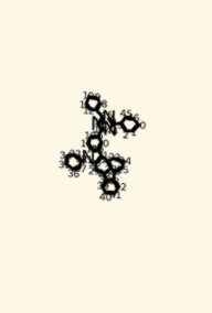 c1ccc(-c2nc(-c3ccccc3)nc(-c3ccc4c(c3)c3c5cccc6c5c(cc3n4-c3ccccc3)-c3ccccc3-6)n2)cc1